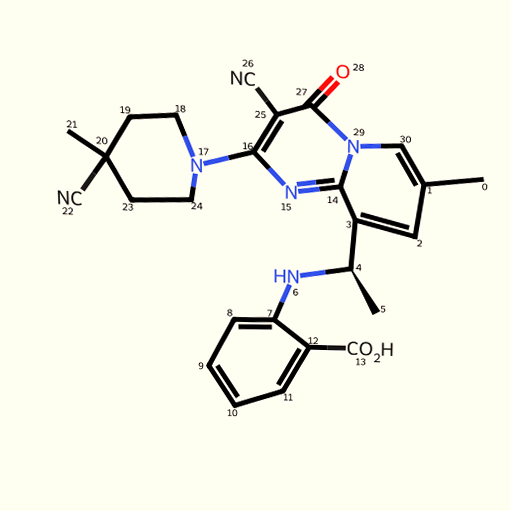 Cc1cc([C@@H](C)Nc2ccccc2C(=O)O)c2nc(N3CCC(C)(C#N)CC3)c(C#N)c(=O)n2c1